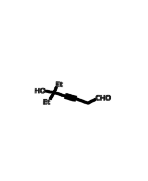 CCC(O)(C#CCC=O)CC